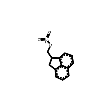 O=[SH](=O)O[CH]C1Cc2cccc3cccc1c23